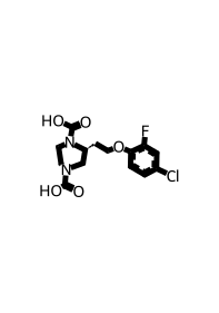 O=C(O)N1CCN(C(=O)O)[C@H](CCOc2ccc(Cl)cc2F)C1